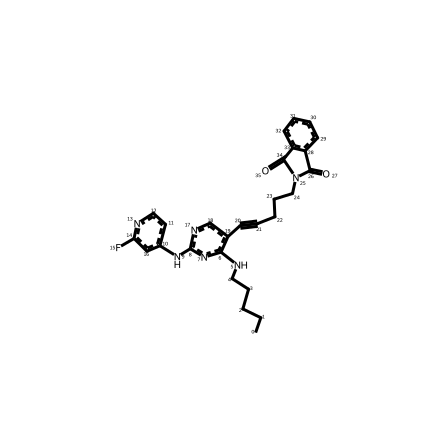 CCCCCNc1nc(Nc2ccnc(F)c2)ncc1C#CCCCN1C(=O)c2ccccc2C1=O